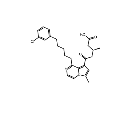 Cc1cc(C(=O)C[C@H](C)CC(=O)O)c2c(CCCCCc3cccc(Cl)c3)nccn12